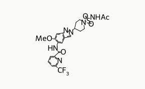 COc1cc2nn(C3CCN(S(=O)(=O)NC(C)=O)CC3)cc2cc1NC(=O)c1cccc(C(F)(F)F)n1